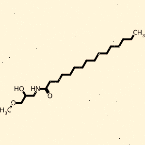 CCCCCCCCCCCCCCCC(=O)NCC(O)COC